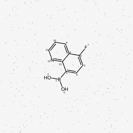 OB(O)c1ccc(F)c2cccnc12